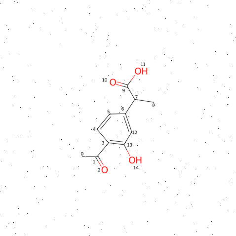 CC(=O)c1ccc(C(C)C(=O)O)cc1O